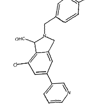 O=CC1c2c(Cl)cc(-c3cccnc3)cc2CN1Cc1ccc(Cl)cc1